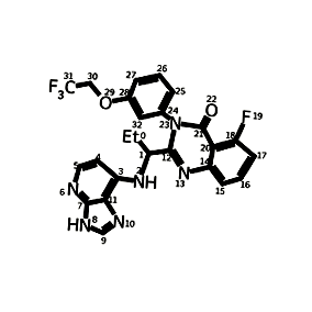 CCC(Nc1ccnc2[nH]cnc12)c1nc2cccc(F)c2c(=O)n1-c1cccc(OCC(F)(F)F)c1